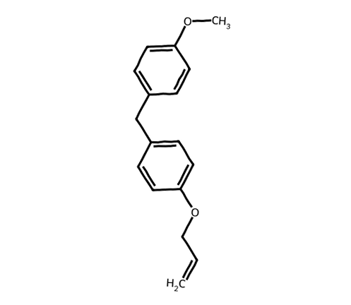 C=CCOc1ccc(Cc2ccc(OC)cc2)cc1